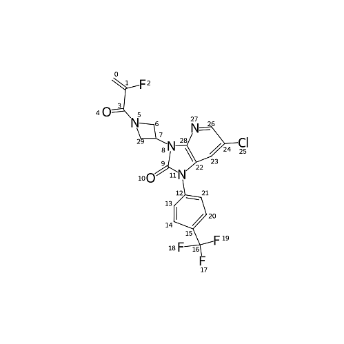 C=C(F)C(=O)N1CC(n2c(=O)n(-c3ccc(C(F)(F)F)cc3)c3cc(Cl)cnc32)C1